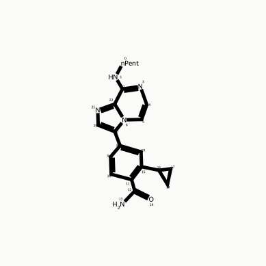 CCCCCNc1nccn2c(-c3ccc(C(N)=O)c(C4CC4)c3)cnc12